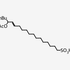 CCCCC(C=CCCCCCCCCCCCCS(=O)(=O)O)OC(C)=O